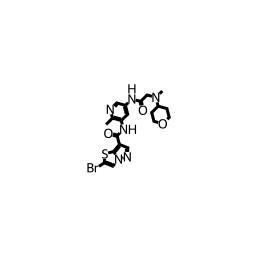 Cc1ncc(NC(=O)CN(C)C2CCOCC2)cc1NC(=O)c1cnn2cc(Br)sc12